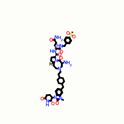 Cn1c(=O)n(C2CCC(=O)NC2=O)c2ccc(CC3CCC(CCN4CC[C@H]5CC[C@@H](C(=O)N[C@@H](CCC(N)=O)C(=O)NCc6ccc(S(C)(=O)=O)cc6)N5C(=O)[C@@H](N)C4)CC3)cc21